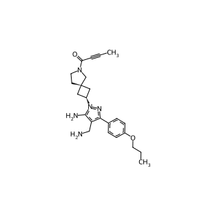 CC#CC(=O)N1CC[C@]2(C1)C[C@H](n1nc(-c3ccc(OCCC)cc3)c(CN)c1N)C2